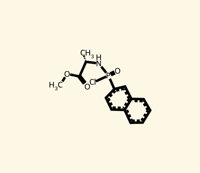 COC(=O)[C@H](C)NP(=O)(Cl)c1ccc2ccccc2c1